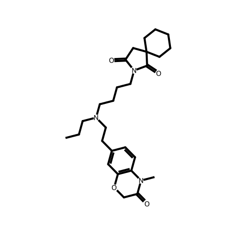 CCCN(CCCCN1C(=O)CC2(CCCCC2)C1=O)CCc1ccc2c(c1)OCC(=O)N2C